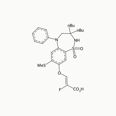 CCCCC1(CCCC)CN(c2ccccc2)c2cc(SC)c(OC=C(F)C(=O)O)cc2S(=O)(=O)N1